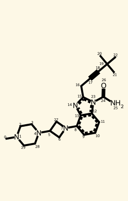 CN1CCN(C2CN(c3cccc4c3nc(CC#CC(C)(C)C)n4C(N)=O)C2)CC1